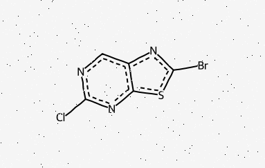 Clc1ncc2nc(Br)sc2n1